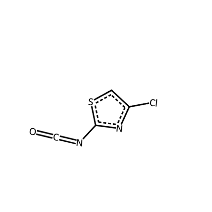 O=C=Nc1nc(Cl)cs1